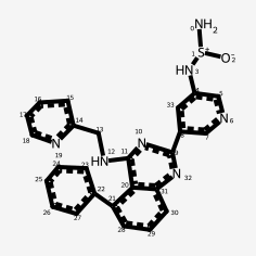 N[S+]([O-])Nc1cncc(-c2nc(NCc3ccccn3)c3c(-c4ccccc4)cccc3n2)c1